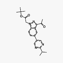 CC(=O)c1nn(CC(=O)OC(C)(C)C)c2ccc(-c3cnc(C(C)C)nc3)cc12